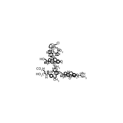 CCCCC(N)C(=O)O.CN(Cc1cnc2nc(N)nc(N)c2n1)c1ccc(C(=O)N[C@@H](CCC(=O)O)C(=O)O)cc1.C[C@]12C=CC(=O)C=C1CC[C@@H]1[C@@H]2C(=O)C[C@@]2(C)[C@H]1CC[C@]2(O)C(=O)CO.C[C@]12C=CC(=O)C=C1CC[C@@H]1[C@@H]2C(=O)C[C@@]2(C)[C@H]1CC[C@]2(O)C(=O)CO.Cn1cnc([N+](=O)[O-])c1Sc1ncnc2nc[nH]c12.O=P1(N(CCCl)CCCl)NCCCO1